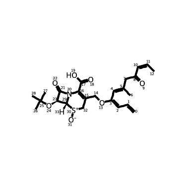 C=C/C=C(\C=C(/C)CC(=O)/C=C\C)OCC1=C(C(=O)O)N2C(=O)[C@H](OC(C)(C)C)[C@H]2[S+]([O-])C1